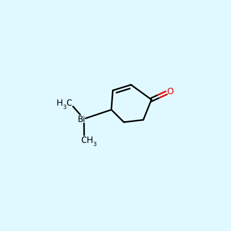 [CH3][Bi]([CH3])[CH]1C=CC(=O)CC1